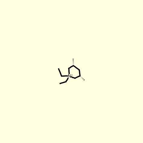 CC[N+]1(CC)C[C@H](C)C[C@H](C)C1